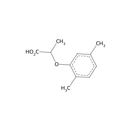 Cc1ccc(C)c(OC(C)C(=O)O)c1